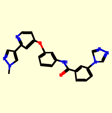 Cn1cc(-c2cc(Oc3cccc(NC(=O)c4cccc(-n5cnnc5)c4)c3)ccn2)cn1